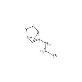 [SiH3][SiH2][SiH2]C1=CC2CCC1C2